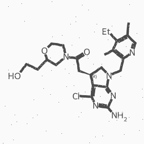 CCc1c(C)cnc(CN2C[C@H](CC(=O)N3CCOC(CCO)C3)c3c(Cl)nc(N)nc32)c1C